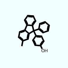 Cc1ccc2c(c1)C(c1ccccc1)(c1ccc(O)cc1)c1ccccc1-2